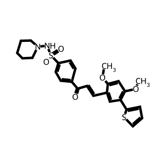 COc1cc(OC)c(-c2cccs2)cc1/C=C/C(=O)c1ccc(S(=O)(=O)NN2CCCCC2)cc1